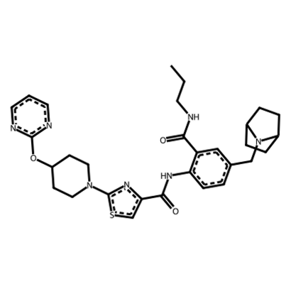 CCCNC(=O)c1cc(CN2C3CCC2CC3)ccc1NC(=O)c1csc(N2CCC(Oc3ncccn3)CC2)n1